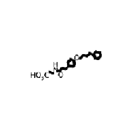 O=C(O)CCNC(=O)/C=C/c1ccc(OCCCCc2ccccc2)cc1